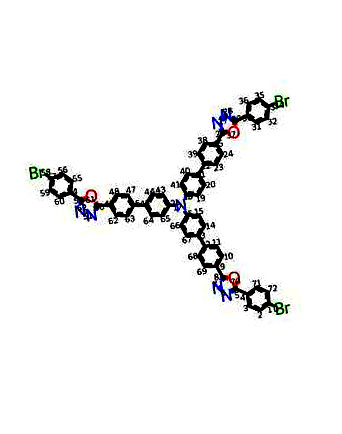 Brc1ccc(-c2nnc(-c3ccc(-c4ccc(N(c5ccc(-c6ccc(-c7nnc(-c8ccc(Br)cc8)o7)cc6)cc5)c5ccc(-c6ccc(-c7nnc(-c8ccc(Br)cc8)o7)cc6)cc5)cc4)cc3)o2)cc1